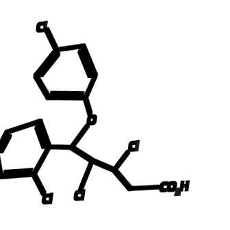 O=C(O)CC(Cl)C(Cl)C(Oc1ccc(Cl)cc1)c1ccccc1Cl